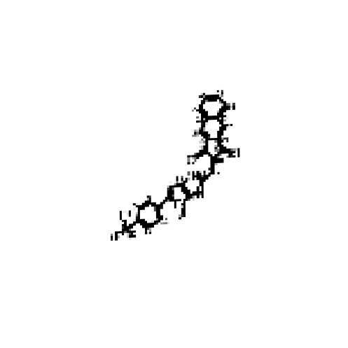 Cn1c(-c2ccc(C(F)(F)F)cc2)cc2sc(C=C3C(=O)c4cc5ccccc5cc4C3=O)nc21